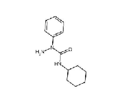 NN(C(=O)NC1CCCCC1)c1ccccc1